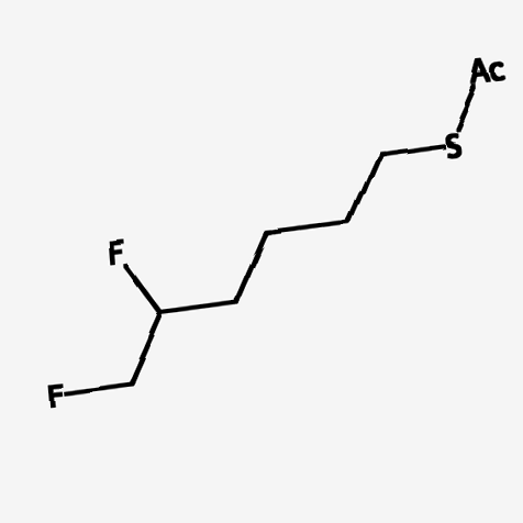 CC(=O)SCCCCC(F)CF